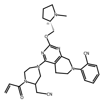 C=CC(=O)N1CCN(c2nc(OC[C@@H]3CCCN3C)nc3c2CCN(c2ccccc2C#N)C3)CC1CC#N